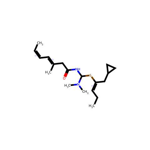 C/C=C\C=C(/C)CC(=O)NC(S/C(=C/CC)CC1CC1)N(C)C